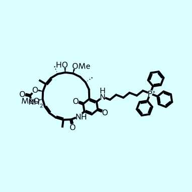 CO[C@H]1/C=C\C=C(\C)C(=O)NC2=CC(=O)C(NCCCCCC[P+](c3ccccc3)(c3ccccc3)c3ccccc3)=C(C[C@@H](C)C[C@H](OC)[C@H](O)[C@@H](C)/C=C(/C)[C@@H]1OC(N)=O)C2=O